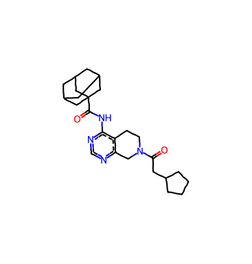 O=C(CC1CCCC1)N1CCc2c(ncnc2NC(=O)C23CC4CC(CC(C4)C2)C3)C1